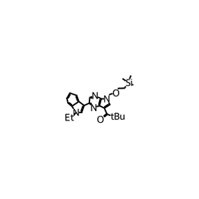 CCn1cc(-c2cnc3c(n2)c(C(=O)C(C)(C)C)cn3COCC[Si](C)(C)C)c2ccccc21